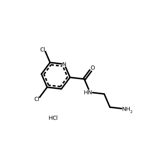 Cl.NCCNC(=O)c1cc(Cl)cc(Cl)n1